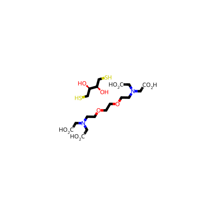 O=C(O)CN(CCOCCOCCN(CC(=O)O)CC(=O)O)CC(=O)O.O[C@H](CS)[C@H](O)CS